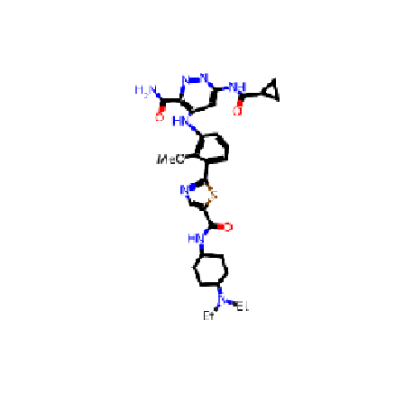 CCN(CC)C1CCC(NC(=O)c2cnc(-c3cccc(Nc4cc(NC(=O)C5CC5)nnc4C(N)=O)c3OC)s2)CC1